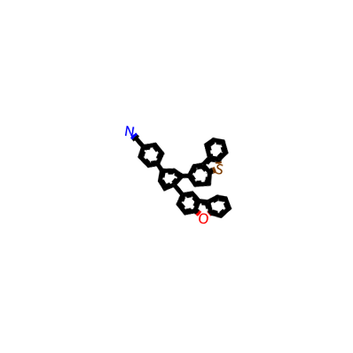 N#Cc1ccc(-c2ccc(-c3ccc4oc5ccccc5c4c3)c(-c3ccc4sc5ccccc5c4c3)c2)cc1